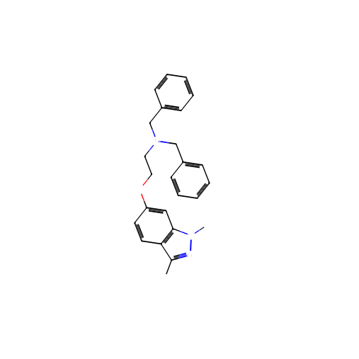 Cc1nn(C(=O)O)c2cc(OCCN(Cc3ccccc3)Cc3ccccc3)ccc12